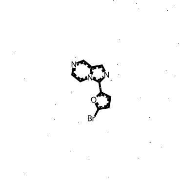 Brc1ccc(-c2ncc3cnccn23)o1